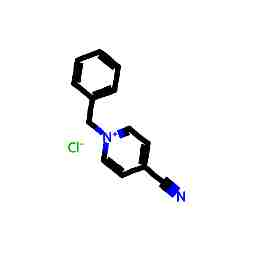 N#Cc1cc[n+](Cc2ccccc2)cc1.[Cl-]